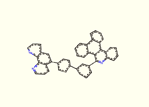 c1cc(-c2ccc(-c3cc4cccnc4c4ncccc34)cc2)cc(-c2nc3ccccc3c3c4ccccc4c4ccccc4c23)c1